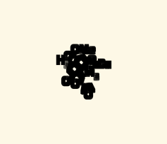 CCCCO[C@H]1C[C@@H](C(=O)OC)[C@]2(C)CCC3C(=O)O[C@@H](c4ccoc4)C[C@]3(C)C2C1=O